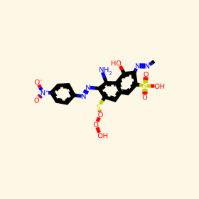 CN=Nc1c(S(=O)(=O)O)cc2cc(SOOO)c(N=Nc3ccc([N+](=O)[O-])cc3)c(N)c2c1O